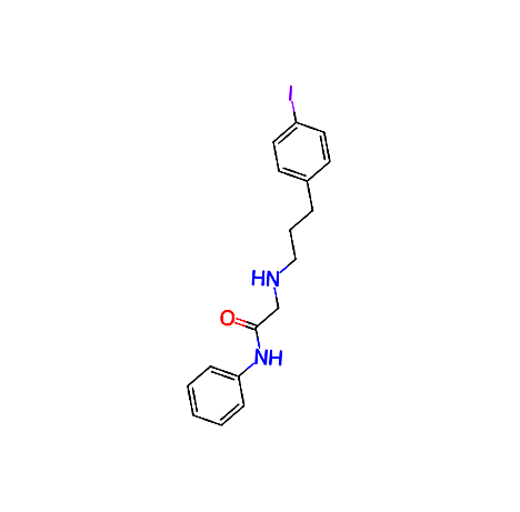 O=C(CNCCCc1ccc(I)cc1)Nc1ccccc1